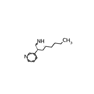 CCCC[CH]CC(C=N)c1cccnc1